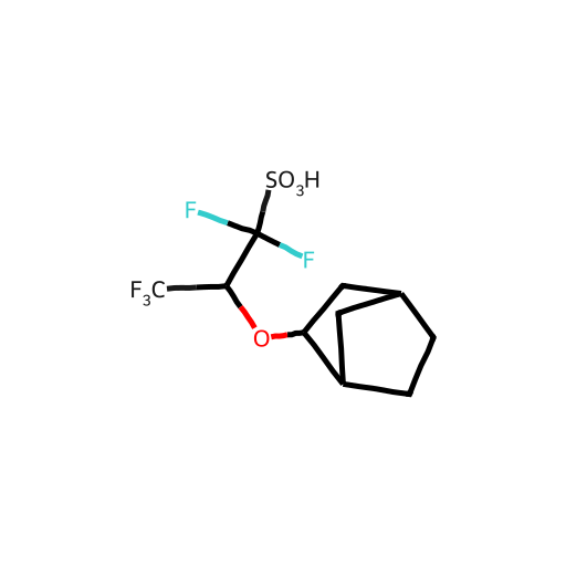 O=S(=O)(O)C(F)(F)C(OC1CC2CCC1C2)C(F)(F)F